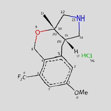 COc1cc2c(c(C(F)(F)F)c1)CO[C@]1(C)CNC[C@H]21.Cl